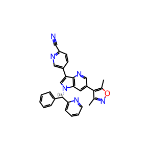 Cc1noc(C)c1-c1cnc2c(-c3ccc(C#N)nc3)cn([C@@H](c3ccccc3)c3ccccn3)c2c1